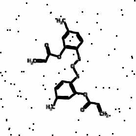 C=CC(=O)Oc1cc(C)ccc1SOSc1ccc(C)cc1OC(=O)C=C